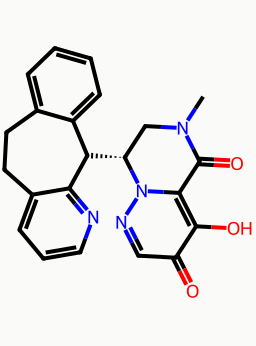 CN1C[C@@H](C2c3ccccc3CCc3cccnc32)n2ncc(=O)c(O)c2C1=O